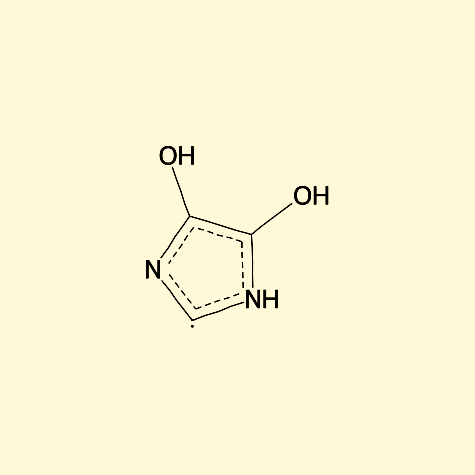 Oc1n[c][nH]c1O